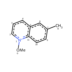 CO[n+]1cccc2cc(C)ccc21